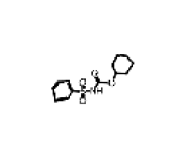 O=C(NS(=O)(=O)c1ccccc1)OC1CCCCC1